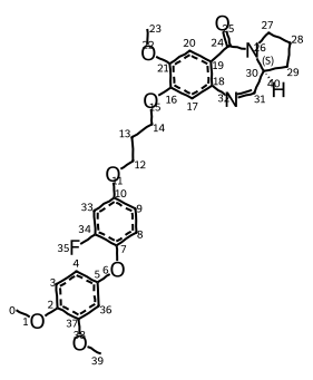 COc1ccc(Oc2ccc(OCCCOc3cc4c(cc3OC)C(=O)N3CCC[C@H]3C=N4)cc2F)cc1OC